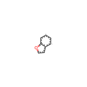 [c]1c[c]c2ccoc2c1